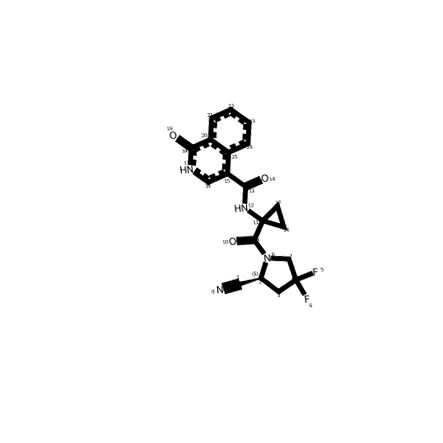 N#C[C@@H]1CC(F)(F)CN1C(=O)C1(NC(=O)c2c[nH]c(=O)c3ccccc23)CC1